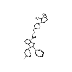 Cc1cccc(N2CCN(CCCNc3ncnc4c3nc(-c3ccccc3)n4-c3ccc(F)cc3)CC2)c1C